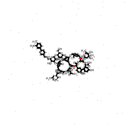 CN[C@H](CC(C)C)C(=O)NC1C(=O)N[C@@H](CC(N)=O)C(=O)N[C@H]2C(=O)N[C@H]3C(=O)N[C@H](C(=O)N[C@@H](C(=O)O)c4cc(O)cc(O)c4-c4cc3ccc4O)[C@H](O[C@H]3C[C@](C)(N)[C@@H](O)[C@H](C)O3)c3ccc(c(Cl)c3)Oc3cc2cc(c3O[C@@H]2O[C@H](CO)[C@@H](O[C@@H]3O[C@H](CNCc4ccc(-c5ccc(C)c(C)c5)nc4)[C@H](O)[C@H](O)[C@H]3O)[C@H](O)[C@H]2O)Oc2ccc(cc2Cl)[C@H]1O